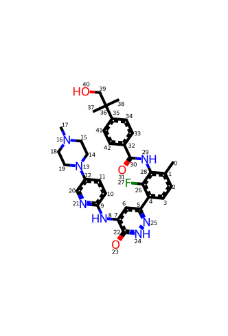 Cc1ccc(-c2cc(Nc3ccc(N4CCN(C)CC4)cn3)c(=O)[nH]n2)c(F)c1NC(=O)c1ccc(C(C)(C)CO)cc1